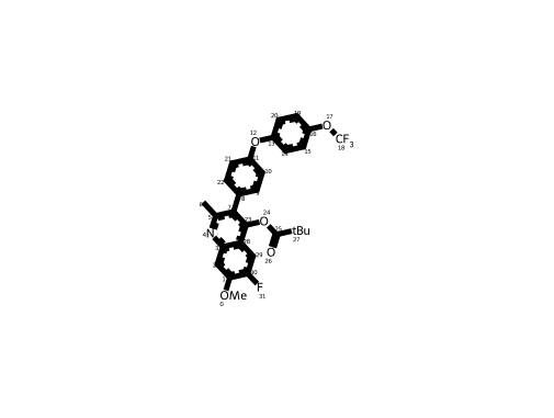 COc1cc2nc(C)c(-c3ccc(Oc4ccc(OC(F)(F)F)cc4)cc3)c(OC(=O)C(C)(C)C)c2cc1F